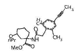 CC#Cc1cc(C)c(CC(=O)NC2(C(=O)OC)CCCC(OCCC)C2)c(C)c1